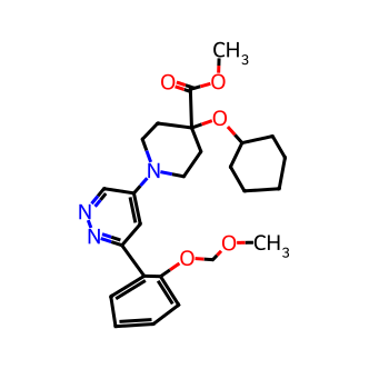 COCOc1ccccc1-c1cc(N2CCC(OC3CCCCC3)(C(=O)OC)CC2)cnn1